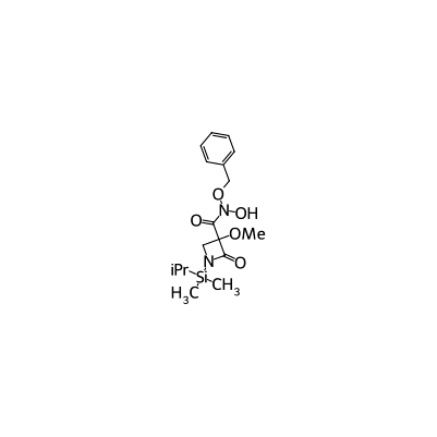 COC1(C(=O)N(O)OCc2ccccc2)CN([Si](C)(C)C(C)C)C1=O